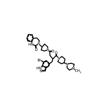 CN1CCN(C2CCN(C(=O)C(CC(=O)N3CCC(N4CCc5ccccc5NC4=O)CC3)Cc3cc(Br)c4[nH]ncc4c3)CC2)CC1